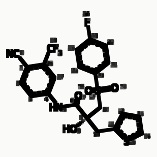 N#Cc1ccc(NC(=O)[C@](O)(Cc2cccs2)CS(=O)(=O)c2ccc(F)cc2)cc1C(F)(F)F